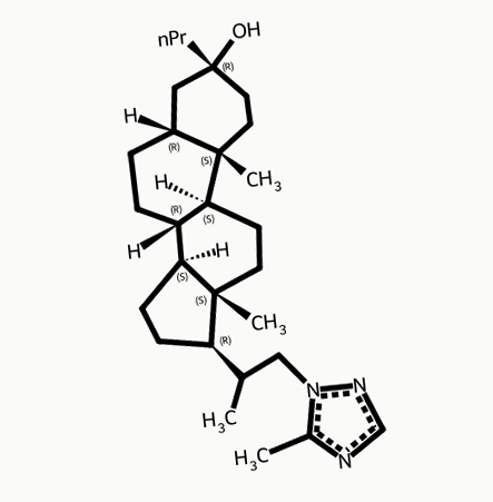 CCC[C@@]1(O)CC[C@@]2(C)[C@H](CC[C@@H]3[C@@H]2CC[C@]2(C)[C@@H](C(C)Cn4ncnc4C)CC[C@@H]32)C1